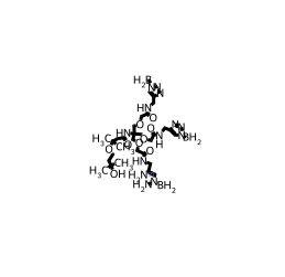 BN(N)/C=C(\N)CNC(=O)COCC(COCC(=O)NCc1cn(B)nn1)(COCC(=O)NCc1cn(B)nn1)NC(=O)CC(C)(C)OCCC(C)(C)O